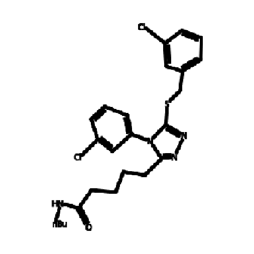 CCCCNC(=O)CCCCc1nnc(SCc2cccc(Cl)c2)n1-c1cccc(Cl)c1